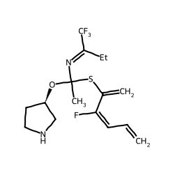 C=C/C=C(/F)C(=C)SC(C)(/N=C(\CC)C(F)(F)F)O[C@@H]1CCNC1